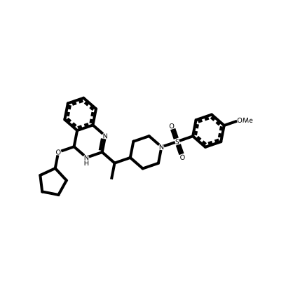 COc1ccc(S(=O)(=O)N2CCC(C(C)C3=Nc4ccccc4C(OC4CCCC4)N3)CC2)cc1